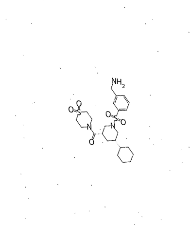 NCc1cccc(S(=O)(=O)N2C[C@@H](C(=O)N3CCS(=O)(=O)CC3)C[C@@H](C3CCCCC3)C2)c1